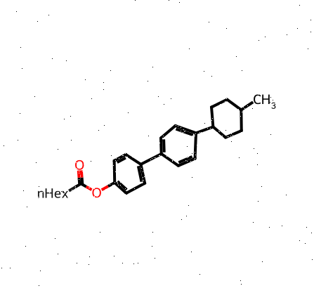 CCCCCCC(=O)Oc1ccc(-c2ccc(C3CCC(C)CC3)cc2)cc1